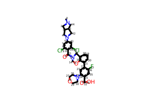 CN1CC2CN(c3cc(Cl)c(C(=O)N4COc5c(cccc5-c5cc(N6CCOCC6)c(C(=O)O)cc5F)C4)c(Cl)c3)CC2C1